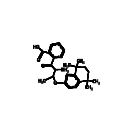 CC(Oc1ccc2c(c1)C(C)(C)CCC2(C)C)C(N)C(=O)c1ccccc1C(=O)O